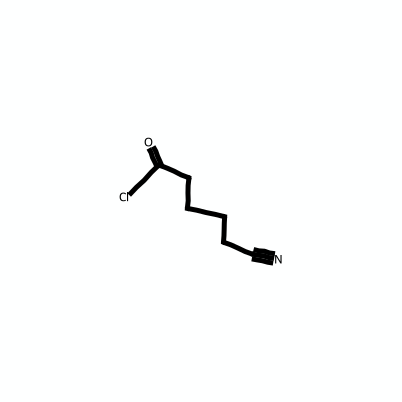 N#CCCCCC(=O)Cl